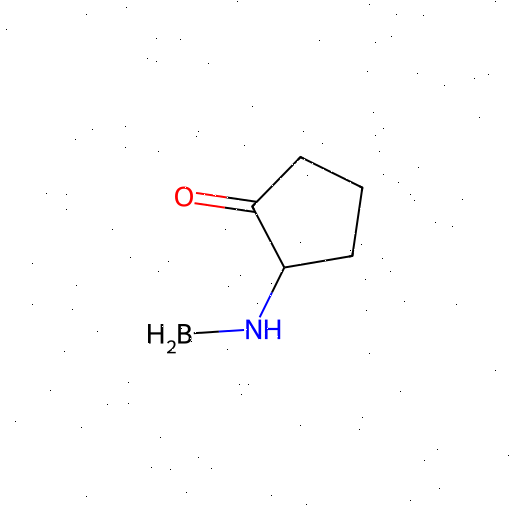 BNC1CCCC1=O